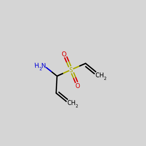 C=CC(N)S(=O)(=O)C=C